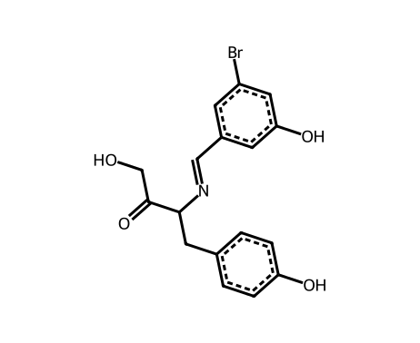 O=C(CO)C(Cc1ccc(O)cc1)N=Cc1cc(O)cc(Br)c1